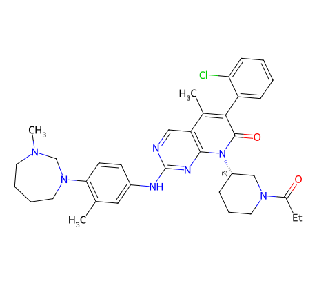 CCC(=O)N1CCC[C@H](n2c(=O)c(-c3ccccc3Cl)c(C)c3cnc(Nc4ccc(N5CCCCN(C)C5)c(C)c4)nc32)C1